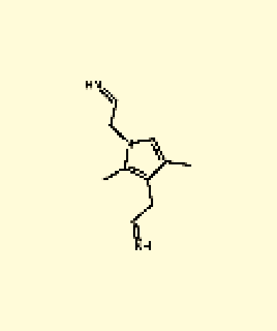 Cc1[c]n(CC=N)c(C)c1CC=N